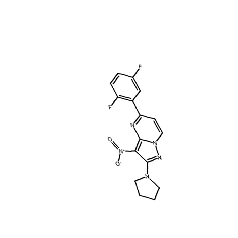 O=[N+]([O-])c1c(N2CCCC2)nn2ccc(-c3cc(F)ccc3F)nc12